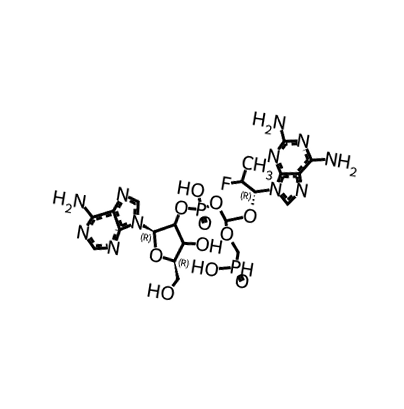 CC(F)[C@@H](OC(OC[PH](=O)O)OP(=O)(O)OC1C(O)[C@@H](CO)O[C@H]1n1cnc2c(N)ncnc21)n1cnc2c(N)nc(N)nc21